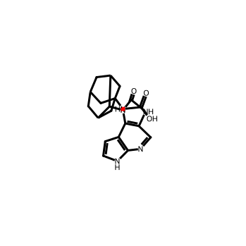 O=C(O)NC12CC3CC(C1)C(n1c(=O)[nH]c4cnc5[nH]ccc5c41)C(C3)C2